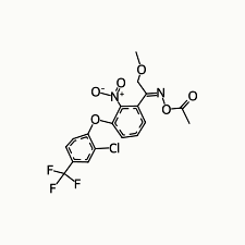 COC/C(=N/OC(C)=O)c1cccc(Oc2ccc(C(F)(F)F)cc2Cl)c1[N+](=O)[O-]